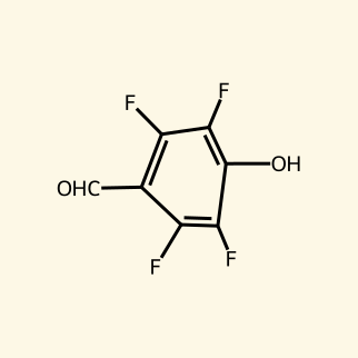 O=Cc1c(F)c(F)c(O)c(F)c1F